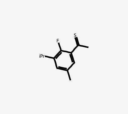 CC(=S)c1cc(C)cc(C(C)C)c1F